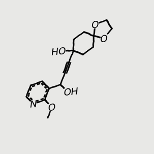 COc1ncccc1C(O)C#CC1(O)CCC2(CC1)OCCO2